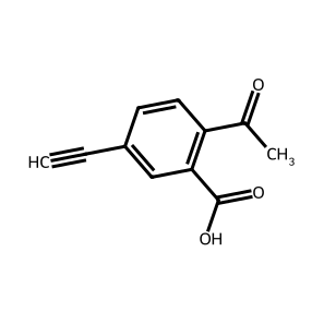 C#Cc1ccc(C(C)=O)c(C(=O)O)c1